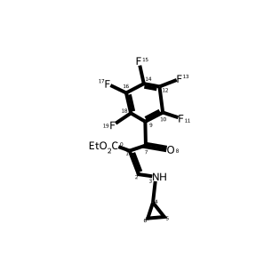 CCOC(=O)/C(=C/NC1CC1)C(=O)c1c(F)c(F)c(F)c(F)c1F